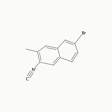 [C-]#[N+]c1cc2ccc(Br)cc2cc1C